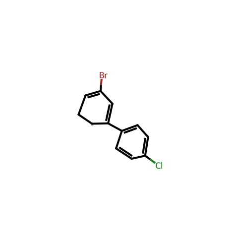 Clc1ccc(C2=CC(Br)=CC[CH]2)cc1